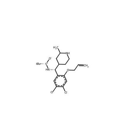 C=CCOc1cc(Cl)c(Cl)cc1[C@H](N[S@@+]([O-])C(C)(C)C)C1CCNC(C)C1